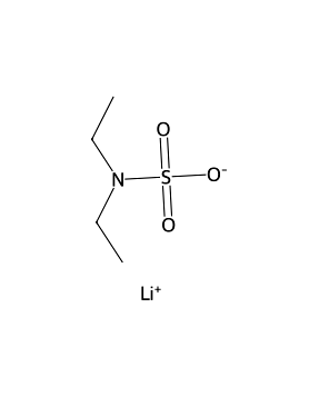 CCN(CC)S(=O)(=O)[O-].[Li+]